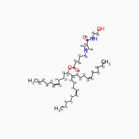 CCCCC/C=C\CCCC(CCC/C=C\CCCCC)C(CCC/C=C\CCCCC)OC(=O)CCCCN1CC(C(=O)NCCO)C1